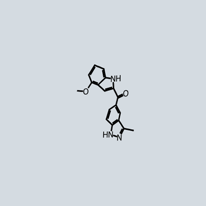 COc1cccc2[nH]c(C(=O)c3ccc4[nH]nc(C)c4c3)cc12